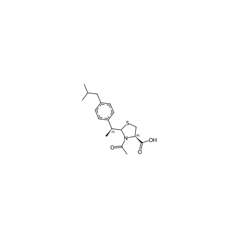 CC(=O)N1C([C@@H](C)c2ccc(CC(C)C)cc2)SC[C@H]1C(=O)O